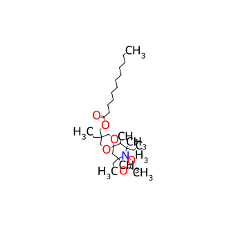 CCCCCCCCCCCC(=O)OCC1(CC)COC2(CC(C)(CC)N(OC(C)=O)C(C)(CC)C2C)OC1